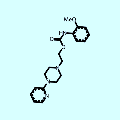 COc1ccccc1NC(=O)OCCN1CCN(c2ccccn2)CC1